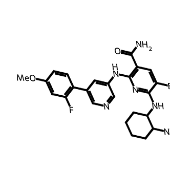 COc1ccc(-c2cncc(Nc3nc(NC4CCCCC4N)c(F)cc3C(N)=O)c2)c(F)c1